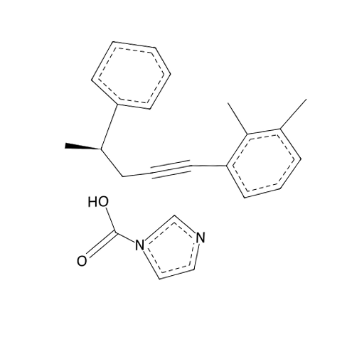 Cc1cccc(C#CC[C@@H](C)c2ccccc2)c1C.O=C(O)n1ccnc1